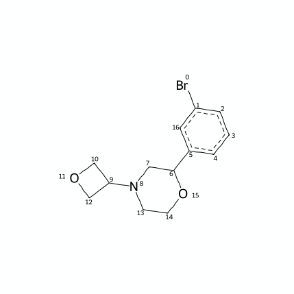 Brc1cccc(C2CN(C3COC3)CCO2)c1